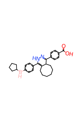 O=C(O)c1ccc(C2=NNC(c3ccc(BC4CCCC4)cc3)=C3CCCCCCC23)cc1